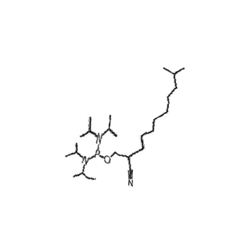 CC(C)CCCCCCCC(C#N)COP(N(C(C)C)C(C)C)N(C(C)C)C(C)C